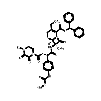 CCN1CCN(C(=O)N[C@@H](C(=O)N[C@]2(OC)C(=O)N3C(C(=O)OC(c4ccccc4)c4ccccc4)=C(COC(C)=O)CS[C@@H]32)c2ccc(NC(=O)OC(C)(C)C)cc2)C(=O)C1=O